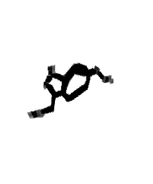 COc1ccc2c(CO)n[nH]c2c1